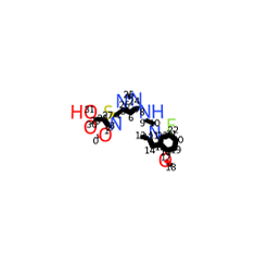 COc1nc(-c2cc(NCCn3c(C)cc4c(OC)ccc(F)c43)ncn2)sc1C(=O)O